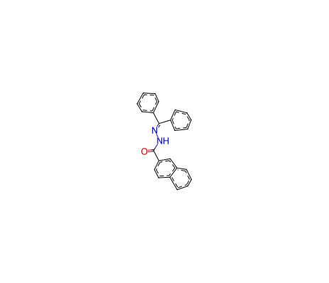 O=C(NN=C(c1ccccc1)c1ccccc1)c1ccc2ccccc2c1